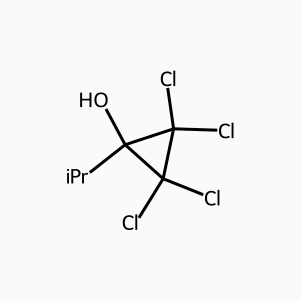 CC(C)C1(O)C(Cl)(Cl)C1(Cl)Cl